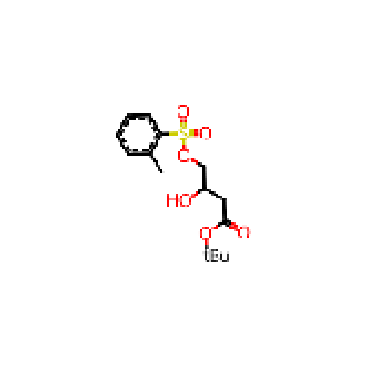 Cc1ccccc1S(=O)(=O)OCC(O)CC(=O)OC(C)(C)C